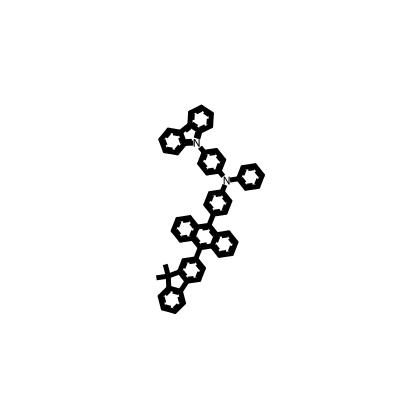 CC1(C)c2ccccc2-c2ccc(-c3c4ccccc4c(-c4ccc(N(c5ccccc5)c5ccc(-n6c7ccccc7c7ccccc76)cc5)cc4)c4ccccc34)cc21